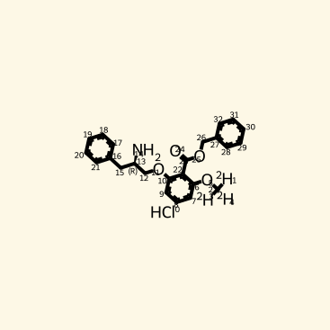 Cl.[2H]C([2H])([2H])Oc1cccc(OC[C@H](N)Cc2ccccc2)c1C(=O)OCc1ccccc1